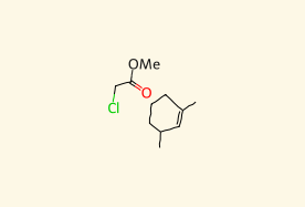 CC1=CC(C)CCC1.COC(=O)CCl